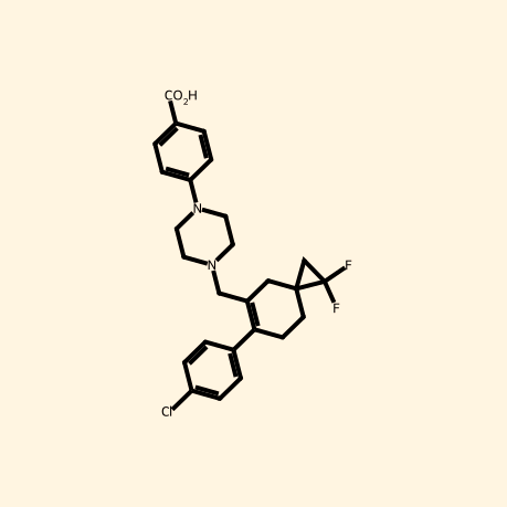 O=C(O)c1ccc(N2CCN(CC3=C(c4ccc(Cl)cc4)CCC4(C3)CC4(F)F)CC2)cc1